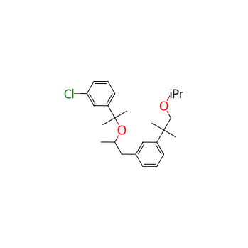 CC(C)OCC(C)(C)c1cccc(CC(C)OC(C)(C)c2cccc(Cl)c2)c1